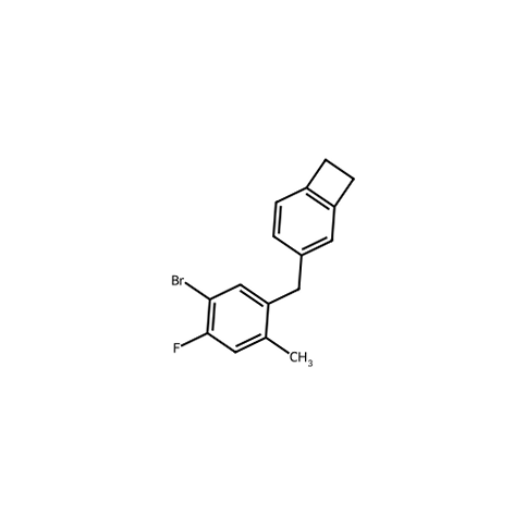 Cc1cc(F)c(Br)cc1Cc1ccc2c(c1)CC2